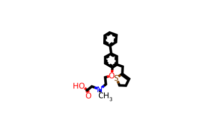 CN(CCOc1ccc(-c2ccccc2)cc1CC1=CCCS1)CC(=O)O